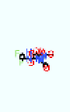 COCCN1CN(Cc2ccoc2)n2cc(C(=O)NCc3ccc(F)cc3F)c(=O)c(O)c2C1=O